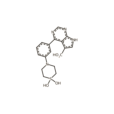 O=C(O)c1c[nH]c2ncnc(-c3cccc(N4CCS(O)(O)CC4)c3)c12